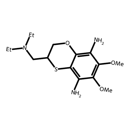 CCN(CC)CC1COc2c(N)c(OC)c(OC)c(N)c2S1